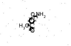 CN(C1CCN(C(=O)CN)CC1)C1COC1